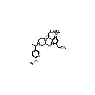 CCC1CN(C(C)c2ccc(OC(C)C)nc2)CCN1/C(=C/C=O)c1nc(CC#N)cn1N(C)C